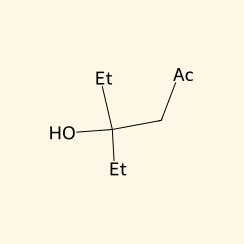 CCC(O)(CC)CC(C)=O